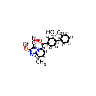 CCOc1nc2c(C)ccc(C(O)c3ccc(-c4ccccc4C(=O)O)cc3)n2c1C